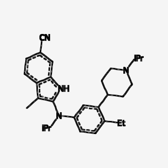 CCc1ccc(N(c2[nH]c3cc(C#N)ccc3c2C)C(C)C)cc1C1CCN(C(C)C)CC1